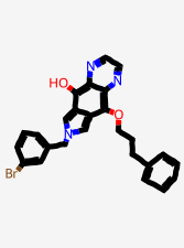 Oc1c2cn(Cc3cccc(Br)c3)cc2c(OCCCc2ccccc2)c2nccnc12